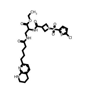 CCOC(=O)C(CNC(=O)CCCCc1ccc2c(n1)NCCC2)NC(=O)C1CN(S(=O)(=O)c2ccc(Cl)s2)C1